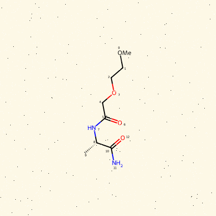 COCCOCC(=O)N[C@@H](C)C(N)=O